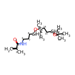 C=C(C)C(=O)NCCC[SiH2]O[Si](C)(C)CC[SiH2]O[Si](C)(C)C